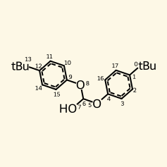 CC(C)(C)c1ccc(OC(O)Oc2ccc(C(C)(C)C)cc2)cc1